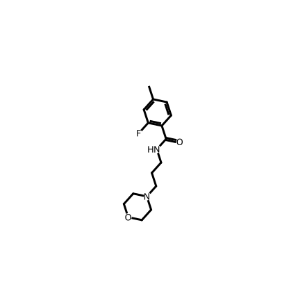 Cc1ccc(C(=O)NCCCN2CCOCC2)c(F)c1